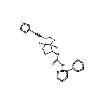 O=C(Nc1ccccc1-c1ccccc1)N[C@H]1CO[C@H]2[C@@H]1OC[C@@H]2C#Cc1ccsc1